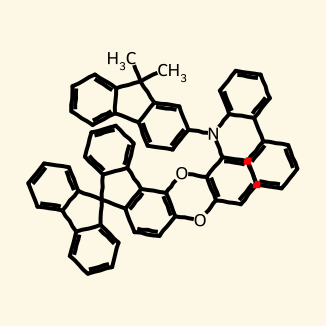 CC1(C)c2ccccc2-c2ccc(N(c3ccccc3-c3ccccc3)c3cccc4c3Oc3c(ccc5c3-c3ccccc3C53c5ccccc5-c5ccccc53)O4)cc21